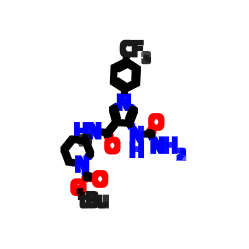 CC(C)(C)OC(=O)N1CCC[C@H](NC(=O)c2cn(-c3ccc(C(F)(F)F)cc3)cc2NC(N)=O)C1